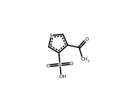 CC(=O)c1cscc1S(=O)(=O)O